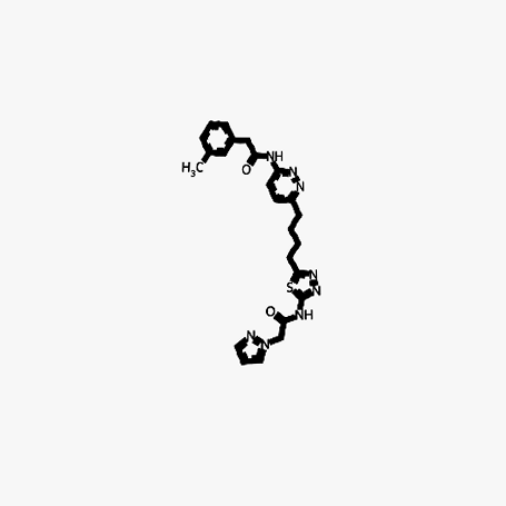 Cc1cccc(CC(=O)Nc2ccc(CCCCc3nnc(NC(=O)Cn4cccn4)s3)nn2)c1